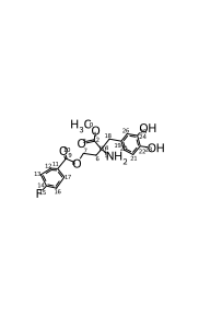 COC(=O)[C@@](N)(CCOC(=O)c1ccc(F)cc1)Cc1ccc(O)c(O)c1